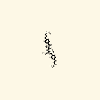 CCCCc1ccc(C(=O)NCCC(C)(C)OC(=O)c2ccc(CCCC)cc2)cc1